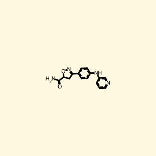 NC(=O)C1CC(c2ccc(Nc3cccnc3)cc2)=NO1